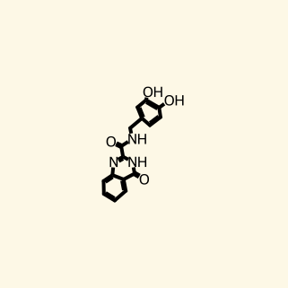 O=C(NCc1ccc(O)c(O)c1)c1nc2ccccc2c(=O)[nH]1